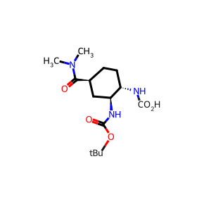 CN(C)C(=O)[C@H]1CC[C@H](NC(=O)O)[C@@H](NC(=O)OC(C)(C)C)C1